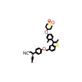 CC#C[C@@H](CC#N)c1ccc(OCc2ccc3sc(C)c(-c4ccc(OC5CCS(=O)(=O)CC5)cc4C)c3c2)cc1